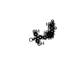 [2H]C1([2H])N(CC2CCN(c3ccc(C(=C(CCCl)c4ccc(O)cc4)c4ccc(O)cc4)cc3)CC2)C([2H])([2H])C([2H])([2H])N(c2c(F)cc3c(c2F)C(=O)N(C2CCC(=O)NC2=O)C3=O)C1([2H])[2H]